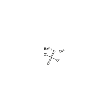 O=S(=O)([O-])[O-].[BaH2].[Ca+2]